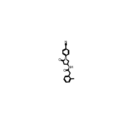 Cc1ccccc1CC(=O)NC1CC(=O)N(c2ccc(C#N)cc2)C1